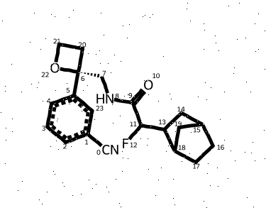 N#Cc1cccc([C@]2(CNC(=O)C(F)C3CC4CCC3C4)CCO2)c1